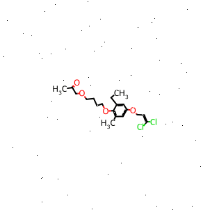 CCc1cc(OCC=C(Cl)Cl)cc(C)c1OCCCCOCC(C)=O